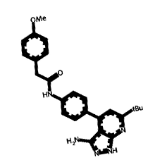 COc1ccc(CC(=O)Nc2ccc(-c3cc(C(C)(C)C)nc4[nH]nc(N)c34)cc2)cc1